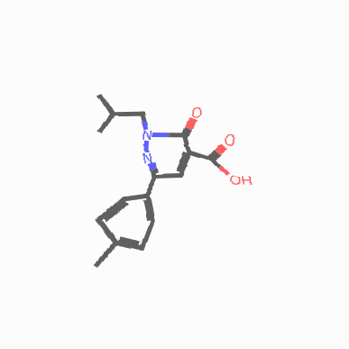 Cc1ccc(-c2cc(C(=O)O)c(=O)n(CC(C)C)n2)cc1